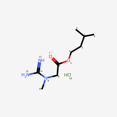 CC(C)CCOC(=O)CN(C)C(=N)N.Cl